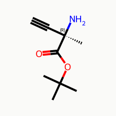 C#C[C@@](C)(N)C(=O)OC(C)(C)C